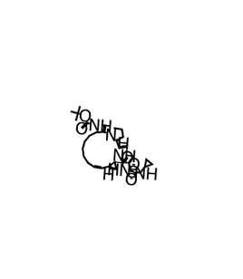 C=C1N[C@]2(C(=O)NS(=O)(=O)NC3CC3)C[C@H]2/C=C\CCCCC[C@H](NC(=O)OC(C)(C)C)C(=C)N2CCC[C@@H]12